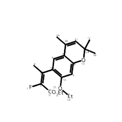 CCOC(=O)/C(F)=C(/C)c1cc2c(cc1OCC)OC(C)(C)C=C2C